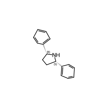 c1ccc([C@@H]2CC[C@H](c3ccccc3)N2)cc1